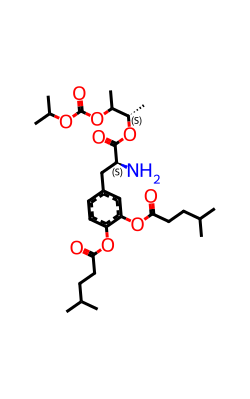 CC(C)CCC(=O)Oc1ccc(C[C@H](N)C(=O)O[C@@H](C)C(C)OC(=O)OC(C)C)cc1OC(=O)CCC(C)C